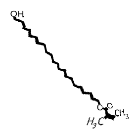 CC=C(C)C(=O)OCCCCCCCCCCCCCCCCCCCCCCO